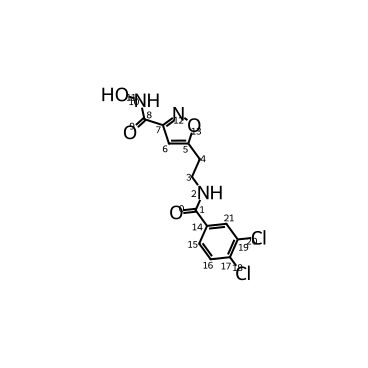 O=C(NCCc1cc(C(=O)NO)no1)c1ccc(Cl)c(Cl)c1